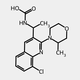 CC(NC(=O)O)c1cc2cccc(Cl)c2nc1N1CCOCC1C